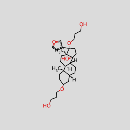 C[C@]12CC[C@H](OCCCO)C[C@H]1CC[C@@H]1[C@@H]2CC[C@]2(C)[C@@](OCCCO)(c3ccoc3)CC[C@]12O